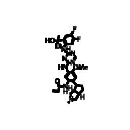 C=CC(=O)Nc1cc(Nc2ncnc(Nc3cc(F)c(F)cc3C(C)(O)CC)n2)c(OC)cc1C1CC[C@H]2CN(C)C[C@@H]12